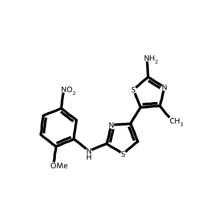 COc1ccc([N+](=O)[O-])cc1Nc1nc(-c2sc(N)nc2C)cs1